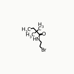 CCC(C)(C)C(=O)NCCBr